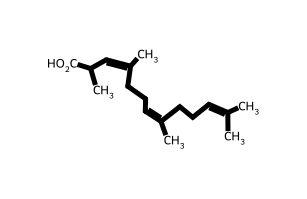 CC(C)=CCCC(C)=CCCC(C)=CC(C)C(=O)O